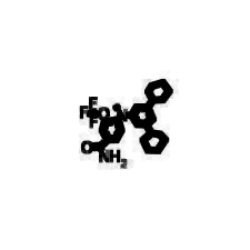 CN(c1cc(C2CCCCC2)cc(C2CCCCC2)c1)c1ccc(C(N)=O)cc1OC(F)(F)F